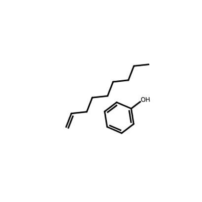 C=CCCCCCCC.Oc1ccccc1